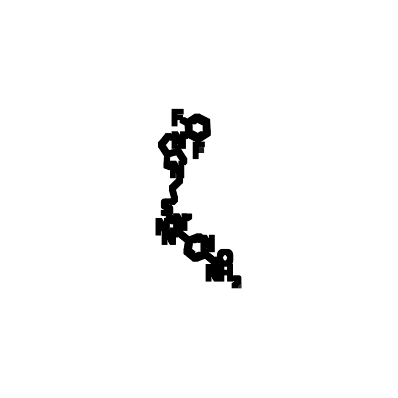 Cn1c(SCCCN2CC3CCN(c4c(F)cccc4F)C3C2)nnc1-c1ccc(C(N)=O)nc1